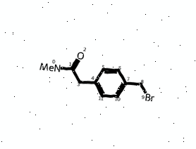 CNC(=O)Cc1ccc(CBr)cc1